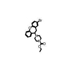 CCOC(=O)N1CCN(C2Cc3cc(Br)ccc3Oc3ccccc32)CC1